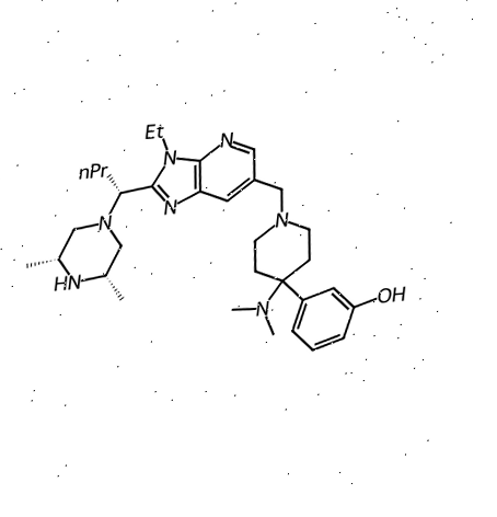 CCC[C@H](c1nc2cc(CN3CCC(c4cccc(O)c4)(N(C)C)CC3)cnc2n1CC)N1C[C@@H](C)N[C@@H](C)C1